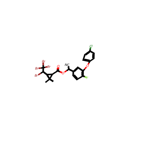 CC1(C)C(C(=O)OC(C#N)c2ccc(F)c(Oc3ccc(Cl)cc3)c2)C1C(Br)C(Br)(Br)Br